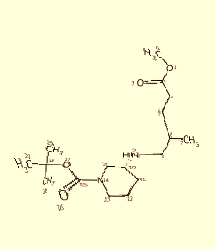 COC(=O)CCC(C)CN[C@@H]1CCCN(C(=O)OC(C)(C)C)C1